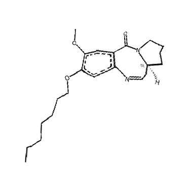 CCCCCCCOc1cc2c(cc1OC)C(=O)N1CCC[C@H]1C=N2